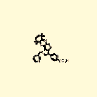 CC1(C)C=CC(C)(C)C2=NC3CCC4C(=C3N=C21)N(Cc1cccnc1)CC4c1ccc(C(=O)O)cc1